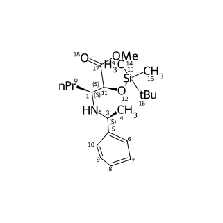 CCC[C@H](N[C@@H](C)c1ccccc1)[C@H](O[Si](C)(C)C(C)(C)C)C(=O)OC